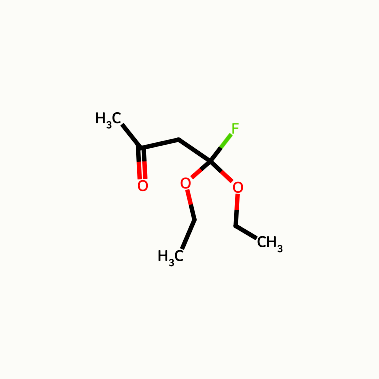 CCOC(F)(CC(C)=O)OCC